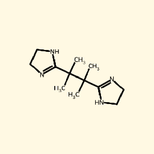 CC(C)(C1=NCCN1)C(C)(C)C1=NCCN1